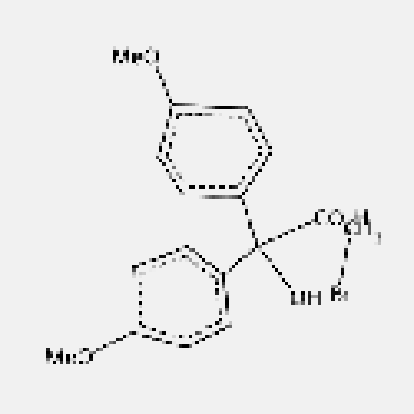 CBr.COc1ccc(C(O)(C(=O)O)c2ccc(OC)cc2)cc1